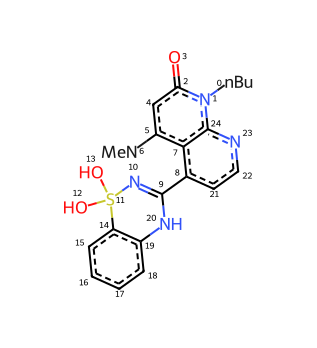 CCCCn1c(=O)cc(NC)c2c(C3=NS(O)(O)c4ccccc4N3)ccnc21